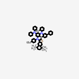 CC(C)(C)c1ccc(N2c3cc(N(c4ccccc4)c4ccccc4)cc4c3B(c3ccc(-c5ccccc5)cc3N4c3ccccc3C(C)(C)C)c3sc4cc5c(cc4c32)C(C)(C)CCC5(C)C)cc1